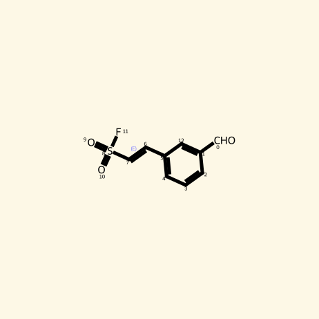 O=Cc1cccc(/C=C/S(=O)(=O)F)c1